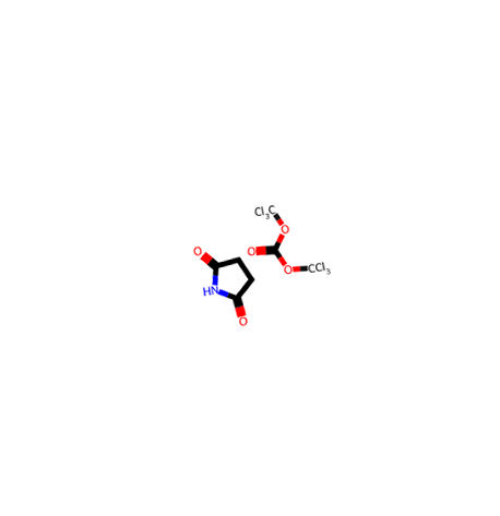 O=C(OC(Cl)(Cl)Cl)OC(Cl)(Cl)Cl.O=C1CCC(=O)N1